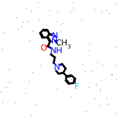 Cn1nc2ccccc2c1C(=O)NCCCN1CCC(c2ccc(F)cc2)CC1